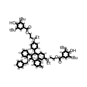 CCN(CCOC(=O)c1cc(C(C)(C)C)c(O)c(C(C)(C)C)c1)c1ccc(C(=C2C=CC(=[N+](CC)CCOC(=O)c3cc(C(C)(C)C)c(O)c(C(C)(C)C)c3)C=C2)c2c(-c3ccc(F)cc3)n(Cc3ccccc3)c3ccccc23)cc1